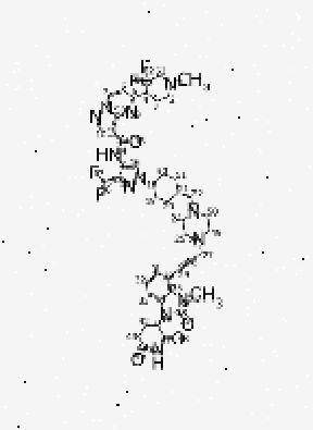 CN1CCC(c2ccn3ncc(C(=O)Nc4cn([C@H]5CC[C@H](CN6CCN(CC#Cc7cccc8c7n(C)c(=O)n8C7CCC(=O)NC7=O)CC6)CC5)nc4C(F)F)c3n2)C(F)(F)C1